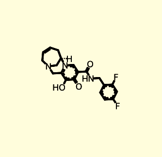 O=C(NCc1ccc(F)cc1F)c1cn2c(c(O)c1=O)CN1CC=CC[C@@H]2C1